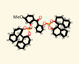 COc1ccc(C(=O)c2ccccc2Op2oc3ccc4ccccc4c3c3c(ccc4ccccc43)o2)c(Op2oc3ccc4ccccc4c3c3c(ccc4ccccc43)o2)c1